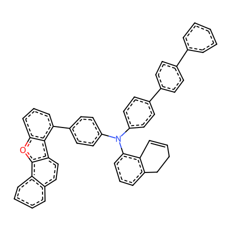 C1=Cc2c(cccc2N(c2ccc(-c3ccc(-c4ccccc4)cc3)cc2)c2ccc(-c3cccc4oc5c6ccccc6ccc5c34)cc2)CC1